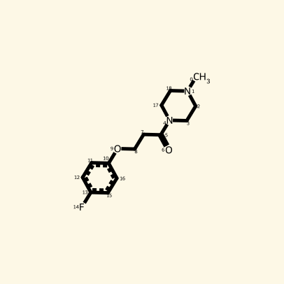 CN1CCN(C(=O)CCOc2ccc(F)cc2)CC1